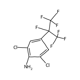 Nc1c(Cl)cc(C(F)(C(F)(F)F)C(F)(F)F)cc1Cl